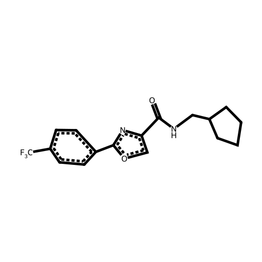 O=C(NCC1CCCC1)c1coc(-c2ccc(C(F)(F)F)cc2)n1